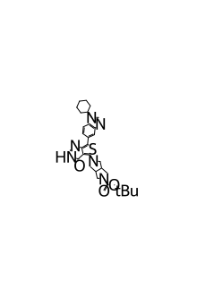 CC(C)(C)OC(=O)N1CC2CN(c3sc(-c4ccc5c(c4)ncn5C4CCCCC4)c4nc[nH]c(=O)c34)CC2C1